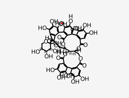 O=C1OC[C@H]2OC(=O)c3cc(O)c(O)c(O)c3-c3c(O)c(O)c(O)c4c3C(=O)O[C@H]([C@H]3OC(=O)c5c-4c(O)c(O)c(O)c5[C@@H]3C3(O)OC[C@H](O)[C@@H](O)[C@H]3O)[C@@H]2OC(=O)c2cc(O)c(O)c(O)c2-c2c1cc(O)c(O)c2O